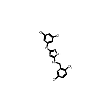 FC(F)(F)c1ccc(Cl)cc1CNc1nc(Nc2cc(Cl)cc(Cl)c2)n[nH]1